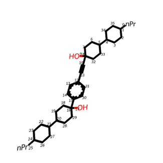 CCCC1CCC(C2CCC(O)(C#Cc3ccc(C4(O)CCC(C5CCC(CCC)CC5)CC4)cc3)CC2)CC1